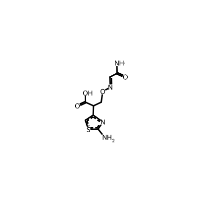 [NH]C(=O)/C=N/OCC(C(=O)O)c1csc(N)n1